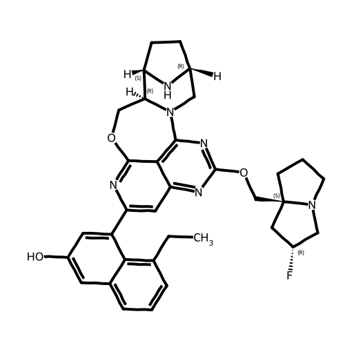 CCc1cccc2cc(O)cc(-c3cc4nc(OC[C@@]56CCCN5C[C@H](F)C6)nc5c4c(n3)OC[C@H]3[C@@H]4CC[C@H](CN53)N4)c12